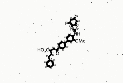 COc1cc(-c2ccc(C(=O)CC(CCc3ccccc3)C(=O)O)cc2)ccc1Nc1nc2c(F)cc(F)cc2s1